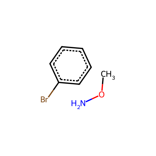 Brc1ccccc1.CON